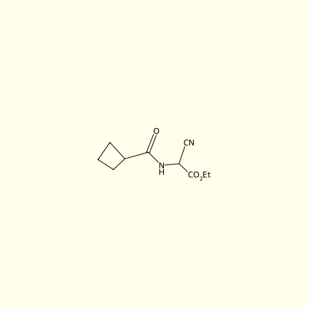 CCOC(=O)C(C#N)NC(=O)C1CCC1